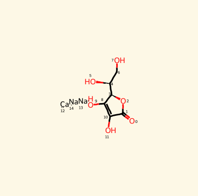 O=C1O[C@H]([C@@H](O)CO)C(O)=C1O.[Ca].[Na].[Na]